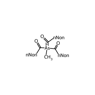 CCCCCCCCCC(=O)[AsH](C)(C(=O)CCCCCCCCC)C(=O)CCCCCCCCC